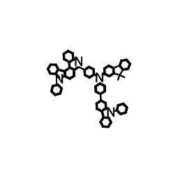 CC1(C)c2ccccc2-c2ccc(N(c3ccc(-c4ccc5c6ccccc6n(-c6ccccc6)c5c4)cc3)c3ccc(-c4nc5ccccc5c5c4ccc4c5c5ccccc5n4-c4ccccc4)cc3)cc21